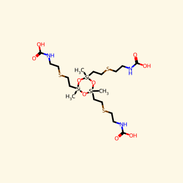 C[Si]1(CCSCCNC(=O)O)O[Si](C)(CCSCCNC(=O)O)O[Si](C)(CCSCCNC(=O)O)O1